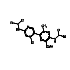 CCc1cc(NC(CC)CC)ncc1-c1nc(OC)c(NC(CC)CC)nc1C